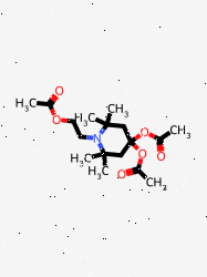 CC(=O)OCCN1C(C)(C)CC(OC(C)=O)(OC(C)=O)CC1(C)C